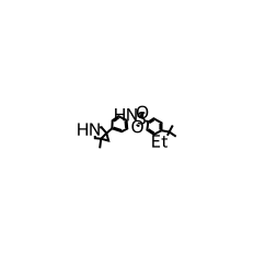 CCC(C)(C)c1ccc(S(=O)(=O)Nc2ccc(C34CNCC3(C)C4)cc2)cc1